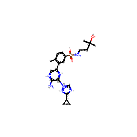 Cc1ccc(S(=O)(=O)NCCC(C)(C)O)cc1-c1cnc(N)c(-n2cnc(C3CC3)n2)n1